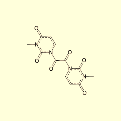 Cn1c(=O)ccn(C(=O)C(=O)n2ccc(=O)n(C)c2=O)c1=O